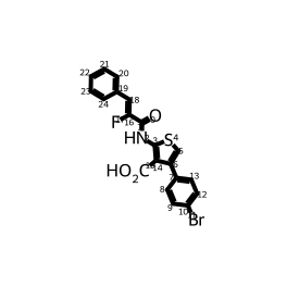 O=C(Nc1scc(-c2ccc(Br)cc2)c1C(=O)O)C(F)=Cc1ccccc1